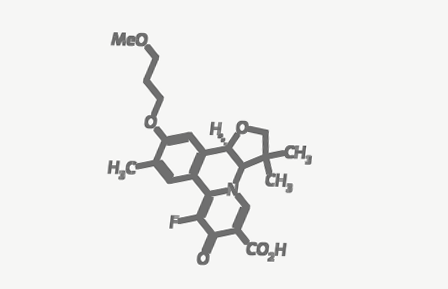 COCCCOc1cc2c(cc1C)-c1c(F)c(=O)c(C(=O)O)cn1C1[C@@H]2OCC1(C)C